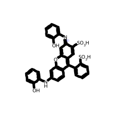 O=S(=O)(O)c1ccccc1-c1c2cc(S(=O)(=O)O)/c(=N/c3ccccc3O)cc-2oc2cc(Nc3ccccc3O)ccc12